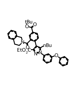 CCCCc1c(-c2ccc(C(=O)OC(C)(C)C)cc2C(=O)N2CCc3ccccc3C2)c(C(=O)OCC)nn1-c1cccc(Oc2ccccc2)c1